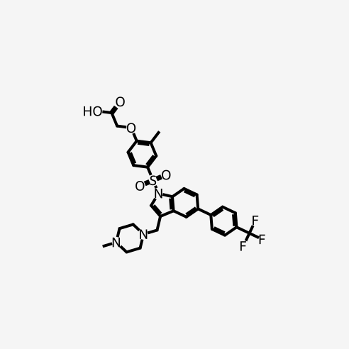 Cc1cc(S(=O)(=O)n2cc(CN3CCN(C)CC3)c3cc(-c4ccc(C(F)(F)F)cc4)ccc32)ccc1OCC(=O)O